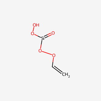 C=COO[Si](=O)OO